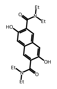 CCN(CC)C(=O)c1cc2cc(O)c(C(=O)N(CC)CC)cc2cc1O